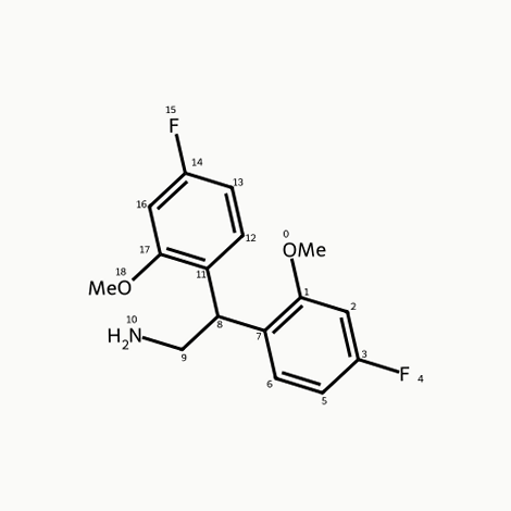 COc1cc(F)ccc1C(CN)c1ccc(F)cc1OC